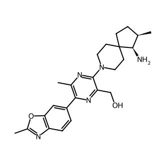 Cc1nc2ccc(-c3nc(CO)c(N4CCC5(CC[C@@H](C)[C@H]5N)CC4)nc3C)cc2o1